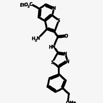 CCOC(=O)c1cnc2sc(C(=O)Nc3nnc(-c4cccc(COC)c4)s3)c(N)c2c1